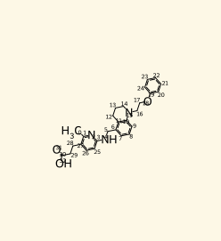 Cc1nc(NCc2cccc3c2CCCN3CCOc2ccccc2)ccc1CCC(=O)O